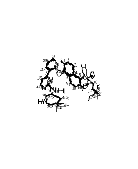 Cc1ccc2c(NS(=O)(=O)CCC(F)(F)F)c(F)ccc2c1Oc1ncccc1-c1ccnc(N[C@@H]2CNC[C@@](C)(F)C2)n1